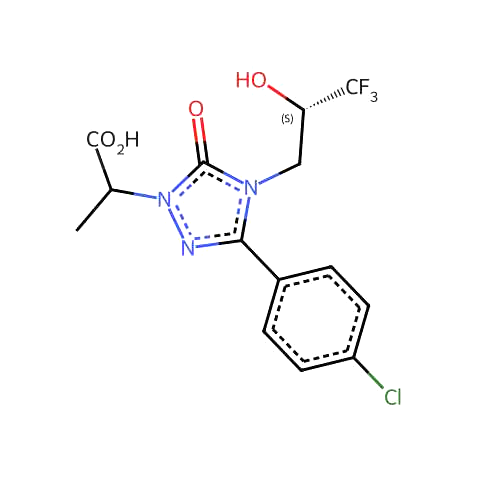 CC(C(=O)O)n1nc(-c2ccc(Cl)cc2)n(C[C@H](O)C(F)(F)F)c1=O